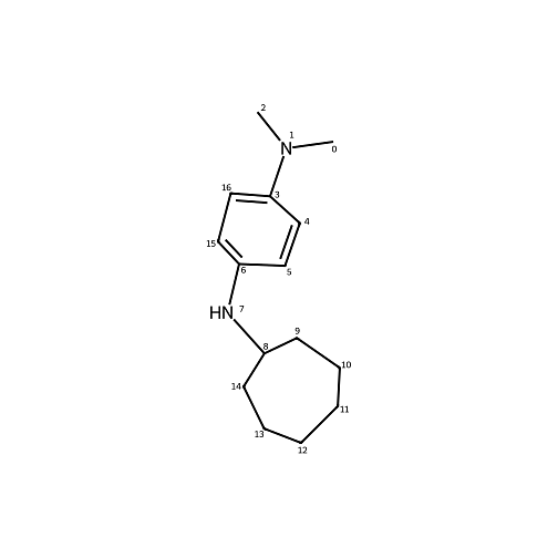 CN(C)c1ccc(NC2CCCCCC2)cc1